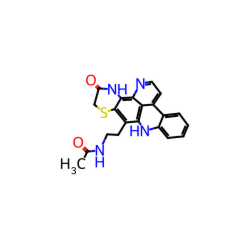 CC(=O)NCCc1c2c(c3nccc4c3c1Nc1ccccc1-4)NC(=O)CS2